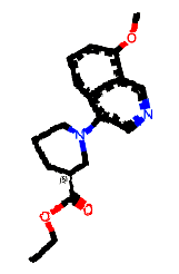 CCOC(=O)[C@H]1CCCN(c2cncc3c(OC)cccc23)C1